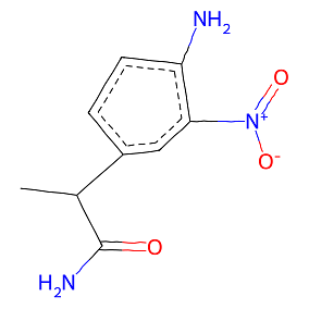 CC(C(N)=O)c1ccc(N)c([N+](=O)[O-])c1